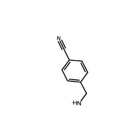 N#Cc1ccc(C[NH])cc1